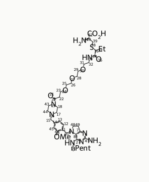 CCCCCNc1nc(N)nc2c1N(Cc1ccc(CN3CCN(C(=O)CCOCCOCCOCCNC(=O)C(CC)SCC(N)C(=O)O)CC3)cc1OC)CC2